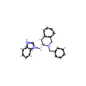 c1ccc(CN2Cc3ccccc3C[C@H]2Cn2cnc3ccccc32)cc1